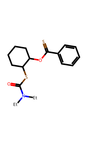 CCN(CC)C(=O)SC1CCCCC1OC(=S)c1ccccc1